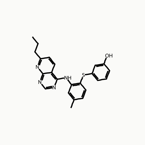 CCCc1ccc2c(Nc3cc(C)ccc3Sc3cccc(O)c3)ncnc2n1